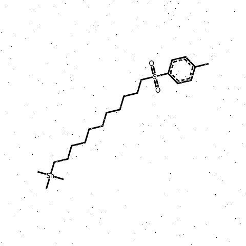 Cc1ccc(S(=O)(=O)CCCCCCCCCC[CH2][Sn]([CH3])([CH3])[CH3])cc1